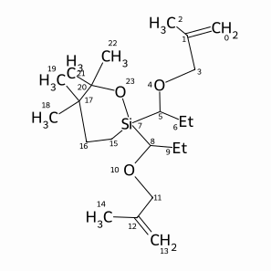 C=C(C)COC(CC)[Si]1(C(CC)OCC(=C)C)CCC(C)(C)C(C)(C)O1